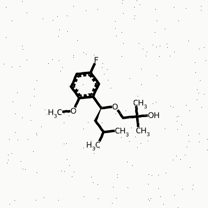 COc1ccc(F)cc1[C@H](CC(C)C)OCC(C)(C)O